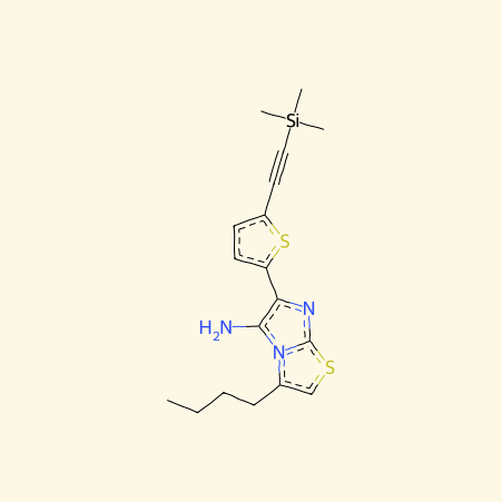 CCCCc1csc2nc(-c3ccc(C#C[Si](C)(C)C)s3)c(N)n12